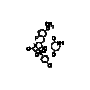 COc1ccc(F)c(CC2CN3C(=O)CC3(S(=O)(=O)c3ccc(Cl)cc3)C2=O)c1.O=C1CCNC(=O)CC1